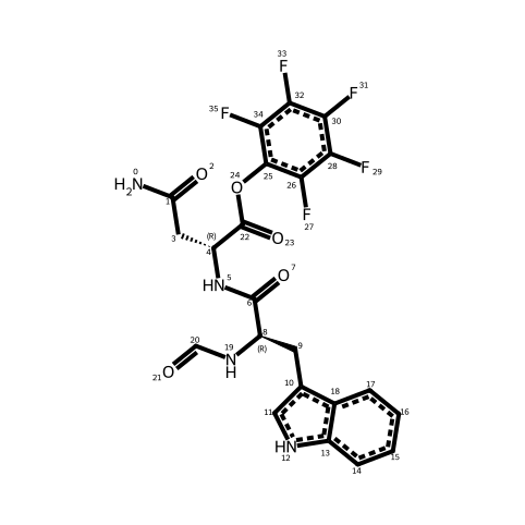 NC(=O)C[C@@H](NC(=O)[C@@H](Cc1c[nH]c2ccccc12)NC=O)C(=O)Oc1c(F)c(F)c(F)c(F)c1F